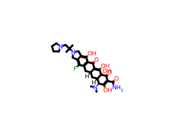 CN(C)[C@@H]1C(O)=C(C(N)=O)C(=O)[C@@]2(O)C(O)=C3C(=O)c4c(O)c5c(c(F)c4C[C@H]3C[C@@H]12)CN(C(C)(C)CN1CCCC1)C5